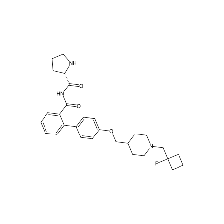 O=C(NC(=O)[C@@H]1CCCN1)c1ccccc1-c1ccc(OCC2CCN(CC3(F)CCC3)CC2)cc1